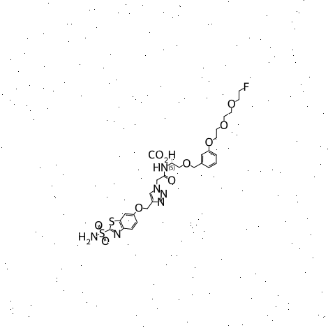 NS(=O)(=O)c1nc2ccc(OCc3cn(CC(=O)N[C@@H](COCc4cccc(OCCOCCOCCF)c4)C(=O)O)nn3)cc2s1